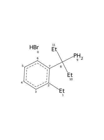 Br.CCc1ccccc1C(P)(CC)CC